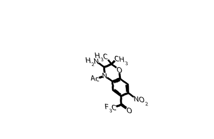 CC(=O)N1c2cc(C(=O)C(F)(F)F)c([N+](=O)[O-])cc2OC(C)(C)C1N